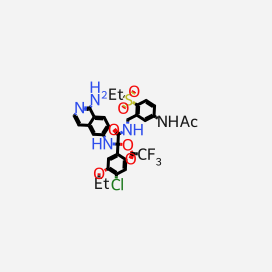 CCOc1cc(C(Nc2ccc3c(N)nccc3c2)(OC(=O)C(F)(F)F)C(=O)NCc2cc(NC(C)=O)ccc2S(=O)(=O)CC)ccc1Cl